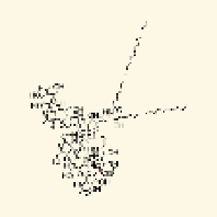 CCCCCCCCCCCCC/C=C/[C@@H](O)[C@H](CO[C@@H]1OC(CO)[C@@H](O[C@@H]2OC(CO)[C@H](O[C@@H]3OC(CO)[C@H](O)[C@H](O[C@@H]4OC(CO)[C@H](O)[C@H](O)C4O)C3NC(C)=O)[C@H](O[C@@H]3OC(CO)[C@@H](O)[C@H](O[C@@H]4OC(CO)[C@H](O[C@@H]5OC(CO)[C@H](O)[C@H](O)C5NC(C)=O)[C@H](O[C@]5(C(=O)O)CC(O)[C@@H](NC(C)=O)C([C@H](O)[C@H](O)CO)O5)C4O)C3NC(C)=O)C2O)[C@H](O)C1O)NC(=O)CCCCCCCCCCCCCCCCCCC